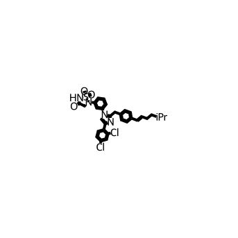 CC(C)CC/C=C/c1ccc(Cc2nc(-c3ccc(Cl)cc3Cl)cn2-c2cccc(N3CC(=O)NS3(=O)=O)c2)cc1